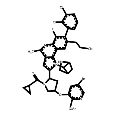 COc1ncc(Br)cc1OC1CC(c2cc3c(C)nc4c(F)c(-c5cccc(Cl)c5Cl)c(CCC#N)cc4c3n2C2C3CNC2C3)N(C(=O)C2CC2)C1